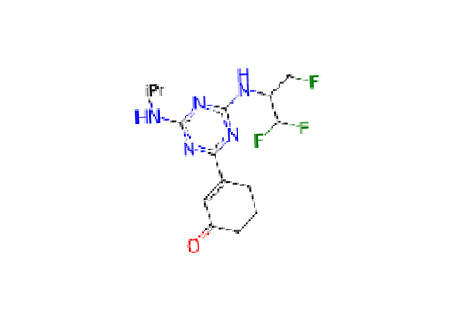 CC(C)Nc1nc(NC(CF)C(F)F)nc(C2=CC(=O)CCC2)n1